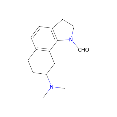 CN(C)C1CCc2ccc3c(c2C1)N(C=O)CC3